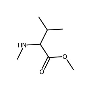 CNC(C(=O)OC)C(C)C